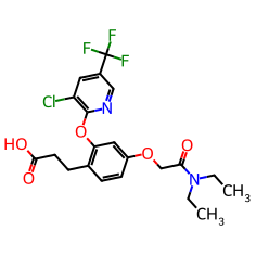 CCN(CC)C(=O)COc1ccc(CCC(=O)O)c(Oc2ncc(C(F)(F)F)cc2Cl)c1